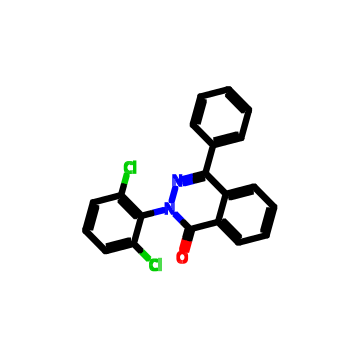 O=c1c2ccccc2c(-c2ccccc2)nn1-c1c(Cl)cccc1Cl